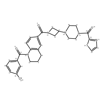 O=C(c1ccc2c(c1)CCCN2C(=O)c1cccc(C(F)(F)F)c1)N1CC(N2CCN(C(=O)c3nccs3)CC2)C1